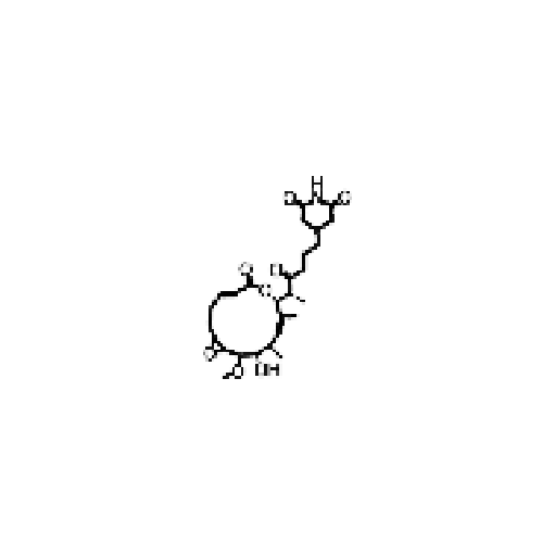 CO[C@H]1C2OC2CC/C=C/C(=O)O[C@H]([C@H](C)C(=O)CCCC2CC(=O)NC(=O)C2)/C(C)=C\[C@@H](C)[C@@H]1O